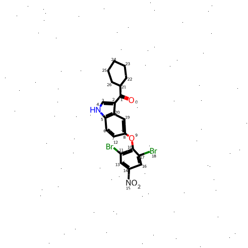 O=C(c1c[nH]c2ccc(Oc3c(Br)cc([N+](=O)[O-])cc3Br)cc12)C1CCCCC1